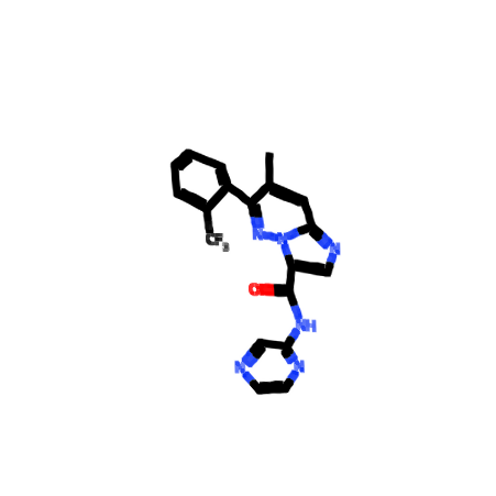 Cc1cc2ncc(C(=O)Nc3cnccn3)n2nc1-c1ccccc1C(F)(F)F